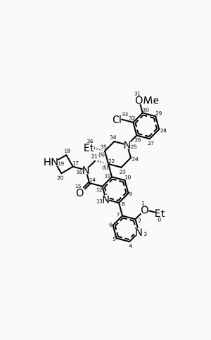 CCOc1ncccc1-c1ccc2c(n1)C(=O)N(C1CNC1)C[C@]21CCN(c2cccc(OC)c2Cl)C[C@H]1CC